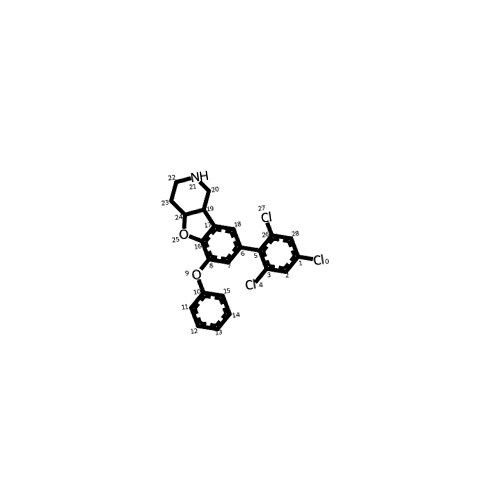 Clc1cc(Cl)c(-c2cc(Oc3ccccc3)c3c(c2)C2CNCCC2O3)c(Cl)c1